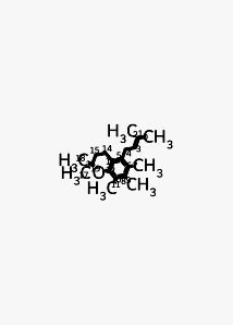 CC(C)=CCc1c(C)c(C)c(C)c2c1CCC(C)(C)O2